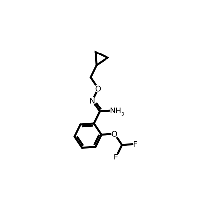 NC(=NOCC1CC1)c1ccccc1OC(F)F